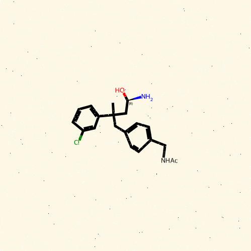 CC(=O)NCc1ccc(CC(C)(C[C@H](N)O)c2cccc(Cl)c2)cc1